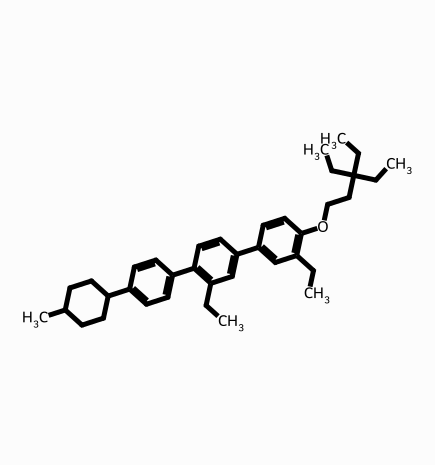 CCc1cc(-c2ccc(-c3ccc(C4CCC(C)CC4)cc3)c(CC)c2)ccc1OCCC(CC)(CC)CC